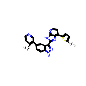 Cc1ccc(-c2ccnc3[nH]c(-c4n[nH]c5ccc(-c6cnccc6C)cc45)nc23)s1